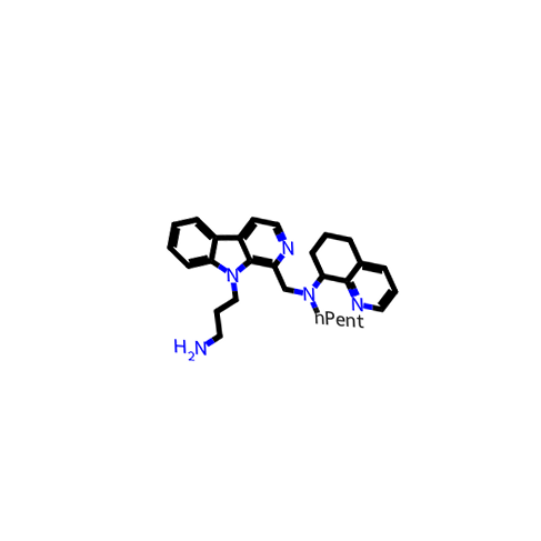 CCCCCN(Cc1nccc2c3ccccc3n(CCCN)c12)C1CCCc2cccnc21